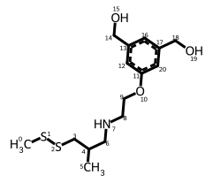 CSSCC(C)CNCCOc1cc(CO)cc(CO)c1